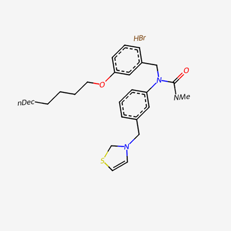 Br.CCCCCCCCCCCCCCOc1cccc(CN(C(=O)NC)c2cccc(CN3C=CSC3)c2)c1